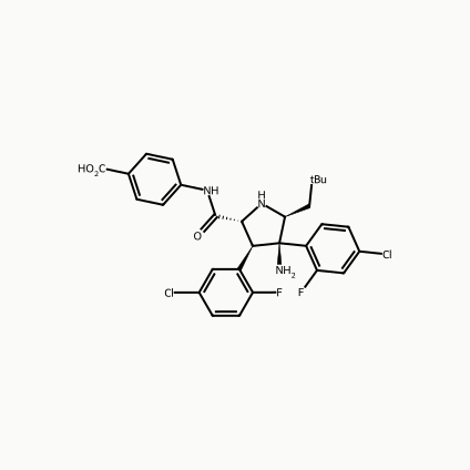 CC(C)(C)C[C@@H]1N[C@@H](C(=O)Nc2ccc(C(=O)O)cc2)[C@H](c2cc(Cl)ccc2F)[C@@]1(N)c1ccc(Cl)cc1F